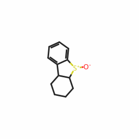 [O-][S+]1c2ccccc2C2CCCCC21